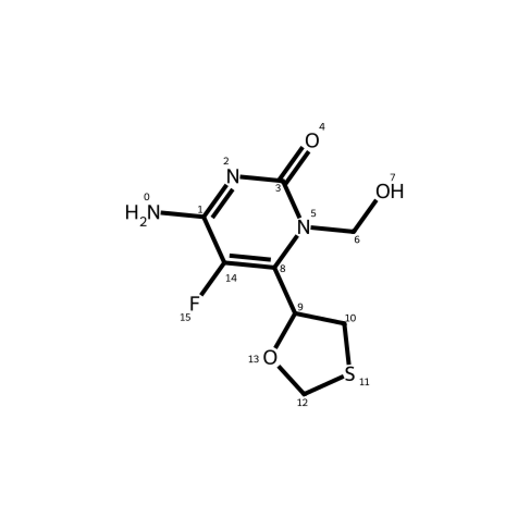 Nc1nc(=O)n(CO)c(C2CSCO2)c1F